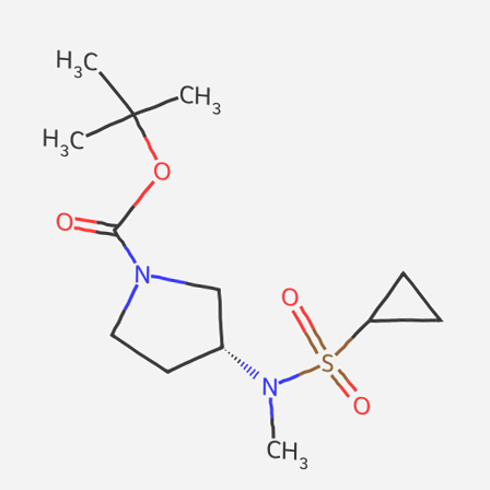 CN([C@@H]1CCN(C(=O)OC(C)(C)C)C1)S(=O)(=O)C1CC1